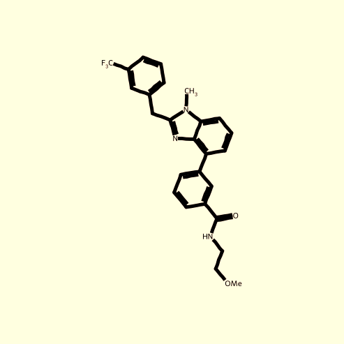 COCCNC(=O)c1cccc(-c2cccc3c2nc(Cc2cccc(C(F)(F)F)c2)n3C)c1